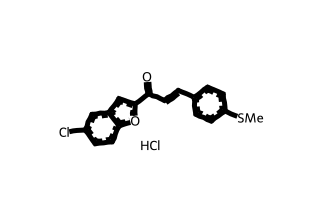 CSc1ccc(C=CC(=O)c2cc3cc(Cl)ccc3o2)cc1.Cl